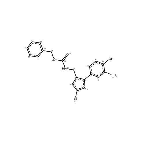 Cc1nc(-c2sc(Cl)cc2CNC(=O)OCc2ccccc2)ccc1O